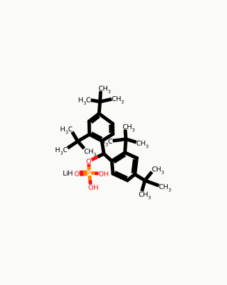 CC(C)(C)c1ccc(C(OP(=O)(O)O)c2ccc(C(C)(C)C)cc2C(C)(C)C)c(C(C)(C)C)c1.[LiH]